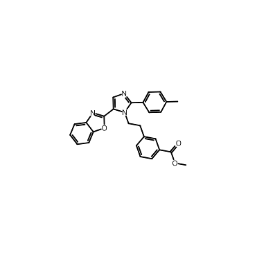 COC(=O)c1cccc(CCn2c(-c3nc4ccccc4o3)cnc2-c2ccc(C)cc2)c1